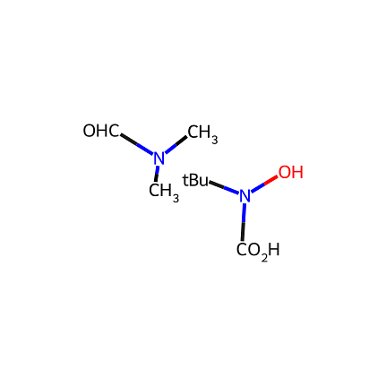 CC(C)(C)N(O)C(=O)O.CN(C)C=O